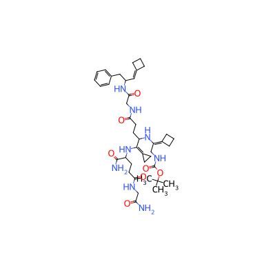 CC(C)(C)OC(=O)NCC(NC(CCC(=O)NCC(=O)NC(C=C1CCC1)Cc1ccccc1)C(NC(CCC(=O)NCC(N)=O)C(N)=O)=C1CC1)=C1CCC1